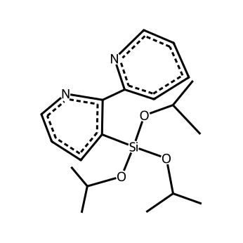 CC(C)O[Si](OC(C)C)(OC(C)C)c1cccnc1-c1ccccn1